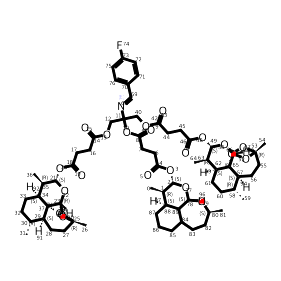 C[C@H]1[C@H](OC(=O)CCC(=O)OC(COC(=O)CCC(=O)O[C@@H]2O[C@@H]3O[C@@]4(C)CC[C@H]5[C@H](C)CC[C@@H]([C@H]2C)[C@@]35OO4)(COC(=O)CCC(=O)O[C@@H]2O[C@@H]3O[C@@]4(C)CC[C@H]5[C@H](C)CC[C@@H]([C@H]2C)[C@@]35OO4)/N=C/c2ccc(F)cc2)O[C@@H]2O[C@@H](C)CCC3CCC[C@@H]1C32